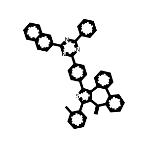 C=C1c2ccccc2-c2ccccc2-c2c(-c3ccc(-c4nc(-c5ccccc5)nc(-c5ccc6ccccc6c5)n4)cc3)sc(-c3ccccc3C)c21